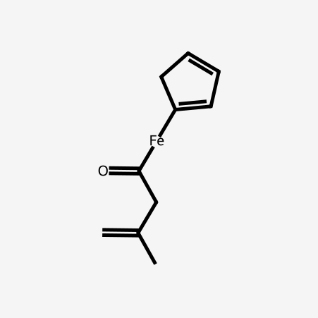 C=C(C)C[C](=O)[Fe][C]1=CC=CC1